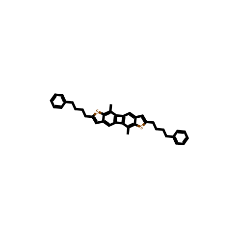 Cc1c2c(cc3cc(CCCCc4ccccc4)sc13)-c1c-2cc2cc(CCCCc3ccccc3)sc2c1C